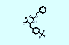 O=C(NC(=Cc1ccc(C(F)(F)F)nc1)C(=O)O)OCc1ccccc1